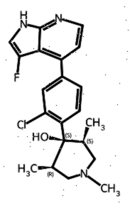 C[C@@H]1CN(C)C[C@H](C)[C@@]1(O)c1ccc(-c2ccnc3[nH]cc(F)c23)cc1Cl